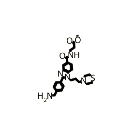 COC(=O)CCNC(=O)c1ccc2c(c1)nc(-c1ccc(CN)cc1)n2CCCN1CCSCC1